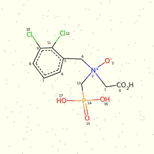 O=C(O)C[N+]([O-])(Cc1cccc(Cl)c1Cl)CP(=O)(O)O